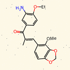 CCOc1ccc(C(=O)/C(C)=C/c2ccc3c(c2OC)OCO3)cc1N